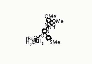 COc1cc(OC)c2c(=O)[nH]c(-c3ccc(OCCO[Si](C)(C)C(C)(C)C)c(-c4ccc(SC)cc4)n3)nc2c1